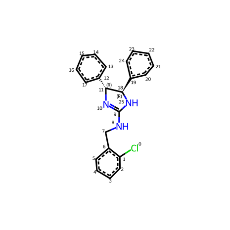 Clc1ccccc1CNC1=N[C@H](c2ccccc2)[C@@H](c2ccccc2)N1